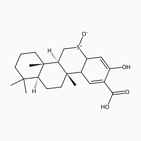 CC1(C)CCC[C@]2(C)[C@H]3C[S+]([O-])C4C=C(O)C(C(=O)O)=CC4[C@]3(C)CC[C@@H]12